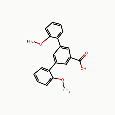 COc1ccccc1-c1cc(C(=O)O)cc(-c2ccccc2OC)c1